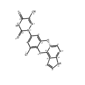 N#Cc1nn(-c2cc(Cl)c(Oc3ncnc4[nH]ccc34)c(Cl)c2)c(=O)[nH]c1=O